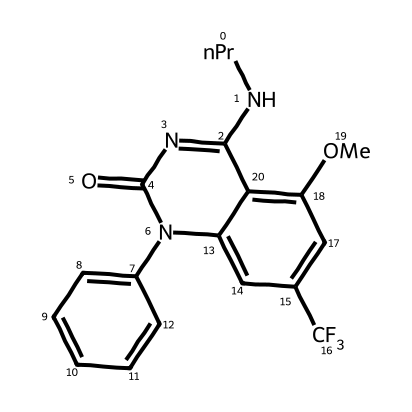 CCCNc1nc(=O)n(-c2ccccc2)c2cc(C(F)(F)F)cc(OC)c12